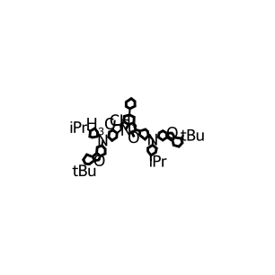 CC(C)c1ccc(N(c2ccc3c(c2)C(C)(C)c2c-3n3c4oc5cc(N(c6ccc(C(C)C)cc6)c6ccc7oc8c(C(C)(C)C)cccc8c7c6)ccc5c4c4cc(-c5ccccc5)cc2c43)c2ccc3oc4c(C(C)(C)C)cccc4c3c2)cc1